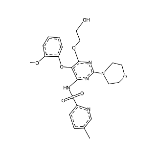 COc1ccccc1Oc1c(NS(=O)(=O)c2ccc(C)cn2)nc(N2CCOCC2)nc1OCCO